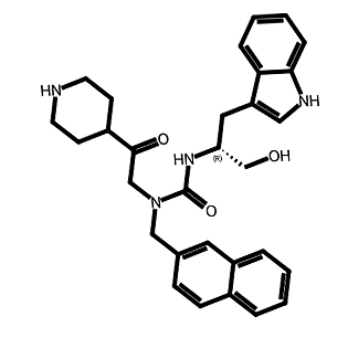 O=C(CN(Cc1ccc2ccccc2c1)C(=O)N[C@@H](CO)Cc1c[nH]c2ccccc12)C1CCNCC1